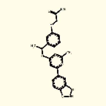 CNC(=O)COc1cccc(C(C)Nc2cc(-c3ccc4c(c3)NNO4)nc(C)n2)c1